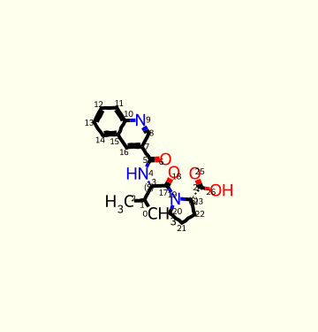 CC(C)[C@H](NC(=O)c1cnc2ccccc2c1)C(=O)N1CCC[C@H]1C(=O)O